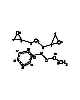 C(OCC1CO1)C1CO1.COCCc1ccccc1